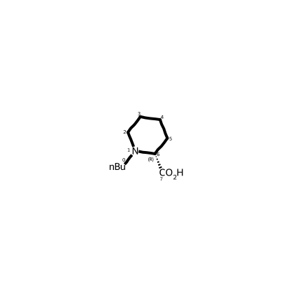 CCCCN1CCCC[C@@H]1C(=O)O